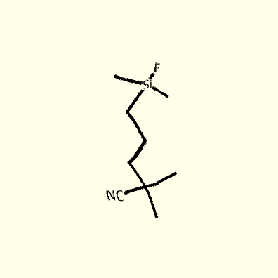 CC(C)(C#N)CCC[Si](C)(C)F